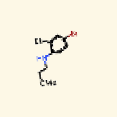 CCc1cc(Br)ccc1NCCOC